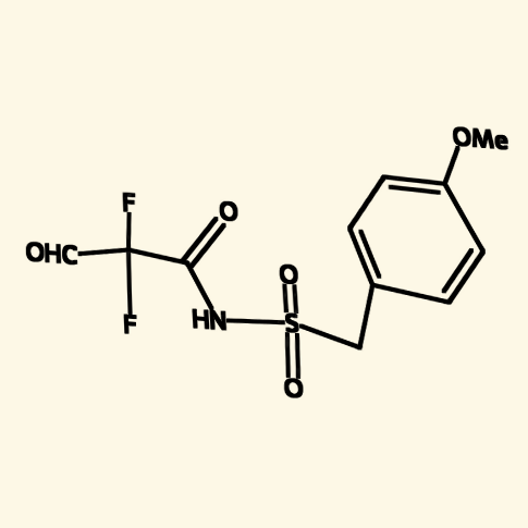 COc1ccc(CS(=O)(=O)NC(=O)C(F)(F)C=O)cc1